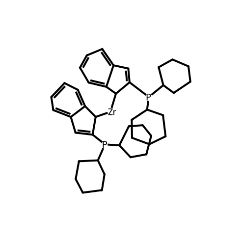 C1=C(P(C2CCCCC2)C2CCCCC2)[CH]([Zr][CH]2C(P(C3CCCCC3)C3CCCCC3)=Cc3ccccc32)c2ccccc21